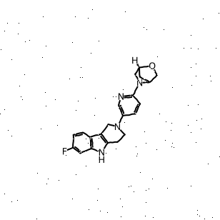 Fc1ccc2c3c([nH]c2c1)CCN(c1ccc(N2C[C@H]4CC2CO4)nc1)C3